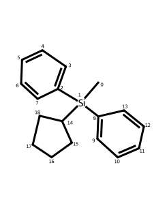 C[Si](c1ccccc1)(c1ccccc1)C1CCCC1